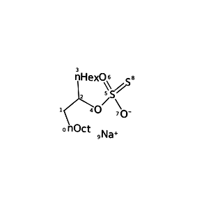 CCCCCCCCCC(CCCCCC)OS(=O)([O-])=S.[Na+]